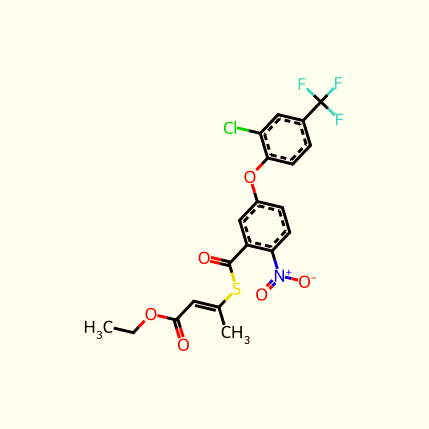 CCOC(=O)C=C(C)SC(=O)c1cc(Oc2ccc(C(F)(F)F)cc2Cl)ccc1[N+](=O)[O-]